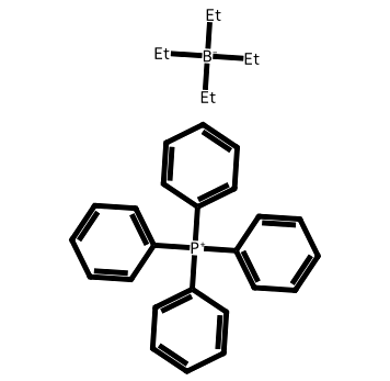 CC[B-](CC)(CC)CC.c1ccc([P+](c2ccccc2)(c2ccccc2)c2ccccc2)cc1